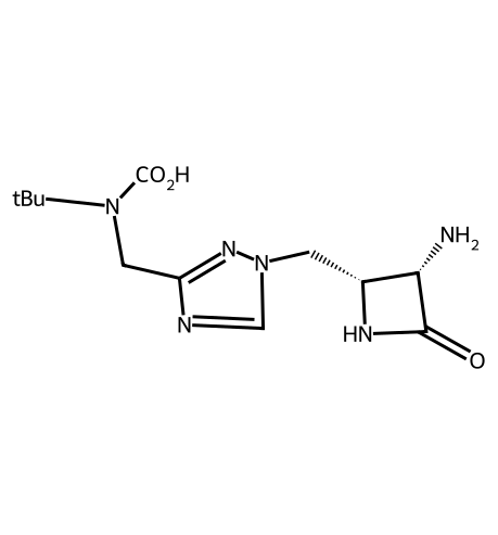 CC(C)(C)N(Cc1ncn(C[C@H]2NC(=O)[C@H]2N)n1)C(=O)O